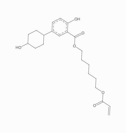 C=CC(=O)OCCCCCCOC(=O)c1cc(C2CCC(O)CC2)ccc1O